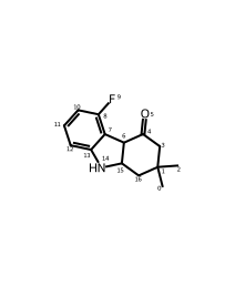 CC1(C)CC(=O)C2c3c(F)cccc3NC2C1